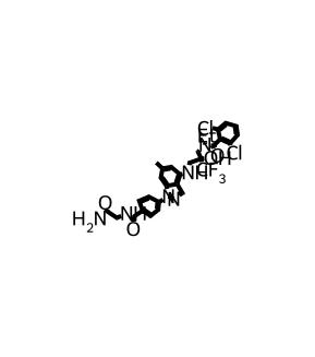 CCN(CC(O)(CNc1cc(C)cc2c1cnn2-c1ccc(C(=O)NCC(N)=O)cc1)C(F)(F)F)C(=O)c1c(Cl)cccc1Cl